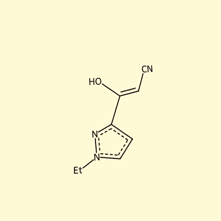 CCn1ccc(C(O)=CC#N)n1